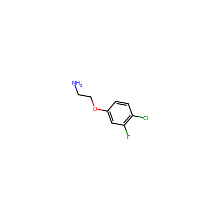 NCCOc1ccc(Cl)c(F)c1